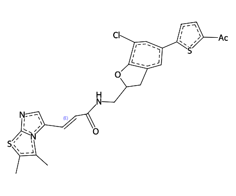 CC(=O)c1ccc(-c2cc(Cl)c3c(c2)CC(CNC(=O)/C=C/c2cnc4sc(C)c(C)n24)O3)s1